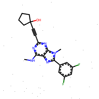 CNc1nc(C#CC2(O)CCCC2)nc2c1nc(-c1cc(F)cc(F)c1)n2C